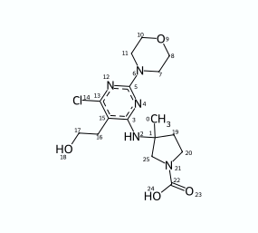 CC1(Nc2nc(N3CCOCC3)nc(Cl)c2CCO)CCN(C(=O)O)C1